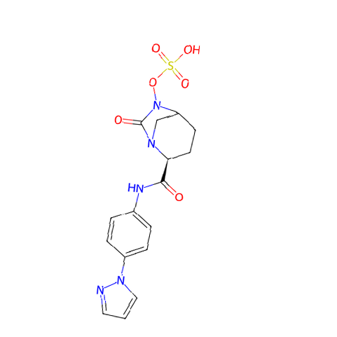 O=C(Nc1ccc(-n2cccn2)cc1)[C@@H]1CCC2CN1C(=O)N2OS(=O)(=O)O